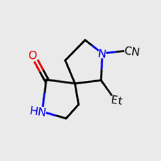 CCC1N(C#N)CCC12CCNC2=O